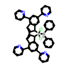 CC1=Cc2c(-c3ccccn3)cc(-c3ccccn3)cc2[CH]1[Zr]([Cl])([Cl])([CH]1C(C)=Cc2c(-c3ccccn3)cc(-c3ccccn3)cc21)[SiH](c1ccccc1)c1ccccc1